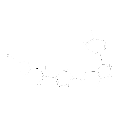 Cc1ccc(-c2noc(C)c2COc2ccc(C(=O)N[C@H]3CCC(C(F)(F)F)C3)nn2)cn1